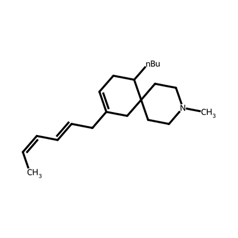 C/C=C\C=CCC1=CCC(CCCC)C2(CCN(C)CC2)C1